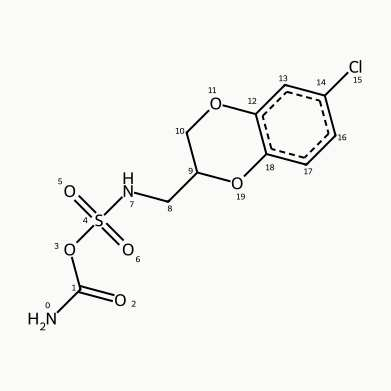 NC(=O)OS(=O)(=O)NCC1COc2cc(Cl)ccc2O1